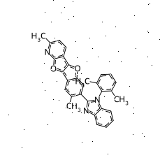 Cc1ccc2c(n1)oc1c3cc(C)c(-c4nc5ccccc5n4-c4c(C)cccc4C)cc3oc21